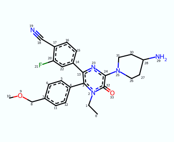 CCn1c(-c2ccc(COC)cc2)c(-c2ccc(C#N)c(F)c2)nc(N2CCC(N)CC2)c1=O